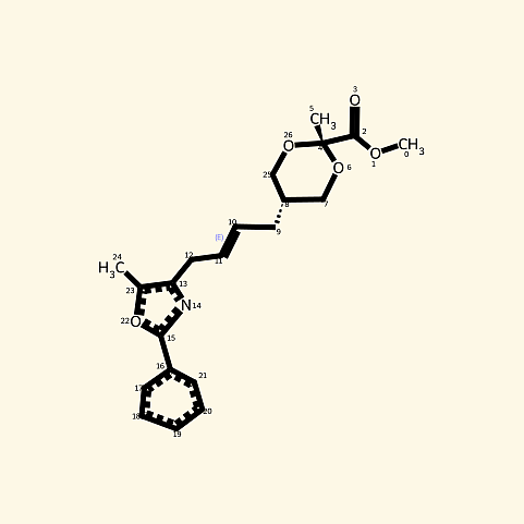 COC(=O)[C@]1(C)OC[C@H](C/C=C/Cc2nc(-c3ccccc3)oc2C)CO1